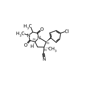 CC1C(=O)N2[C@@H](c3ccc(Cl)cc3)[C@@](C)(C#N)C[C@H]2C(=O)N1C